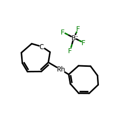 C1=CCCCC[C]([Rh][C]2=CC=CCCCC2)=C1.F[B-](F)(F)F